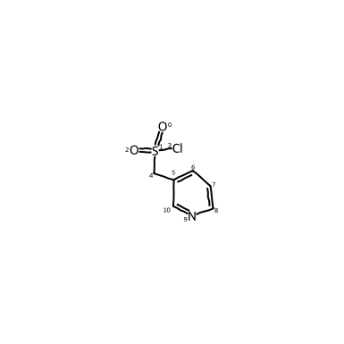 O=S(=O)(Cl)Cc1cccnc1